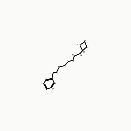 c1ccc(OCCCCCCCC2CCO2)cc1